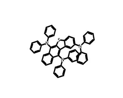 c1ccc(N(c2ccccc2)c2ccc3sc4c(N(c5ccccc5)c5ccccc5)c5ccccc5c(N(c5ccccc5)c5ccccc5)c4c3c2)cc1